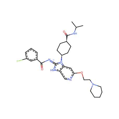 CC(C)NC(=O)[C@H]1CC[C@@H](n2/c(=N/C(=O)c3cccc(F)c3)[nH]c3cnc(OCCN4CCCCC4)cc32)CC1